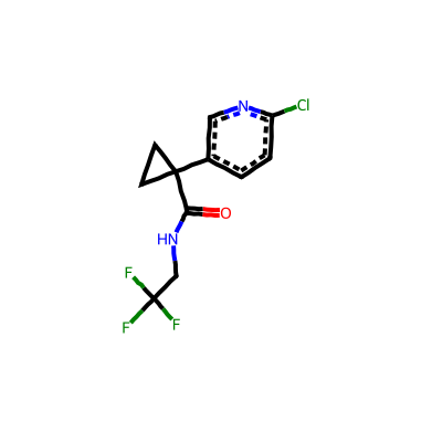 O=C(NCC(F)(F)F)C1(c2ccc(Cl)nc2)CC1